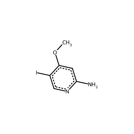 COc1cc(N)ncc1I